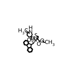 CCOC(=O)c1csc([C@]2(C(=O)OCC3c4ccccc4-c4ccccc43)CC[C@@H](C)NC2)n1